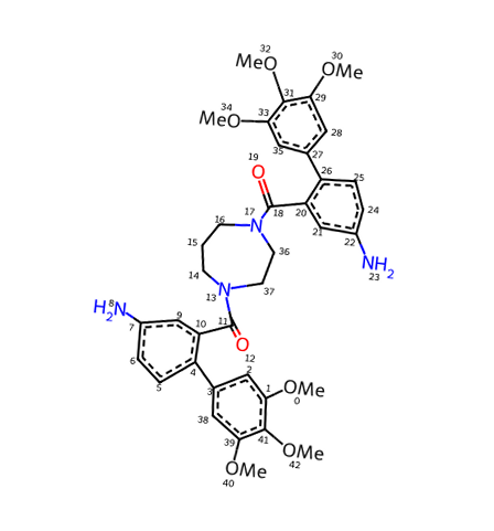 COc1cc(-c2ccc(N)cc2C(=O)N2CCCN(C(=O)c3cc(N)ccc3-c3cc(OC)c(OC)c(OC)c3)CC2)cc(OC)c1OC